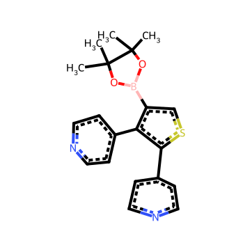 CC1(C)OB(c2csc(-c3ccncc3)c2-c2ccncc2)OC1(C)C